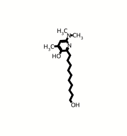 Cc1cc(N(C)C)nc(CCCCCCCCCCO)c1O